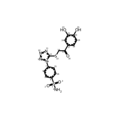 NS(=O)(=O)c1ccc(-n2nnnc2SCC(=O)c2ccc(O)c(O)c2)cc1